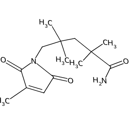 CC1=CC(=O)N(CC(C)(C)CC(C)(C)C(N)=O)C1=O